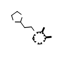 O=c1[nH]n[c]n(CCC2SCCS2)c1=O